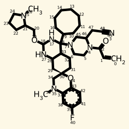 C=CC(=O)N1CCN(C2(C3CCCCCCC3)NC(OCC3CCCN3C)NC3C[C@]4(CCC32)CN(C)c2cc(F)ccc2O4)CC1CC#N